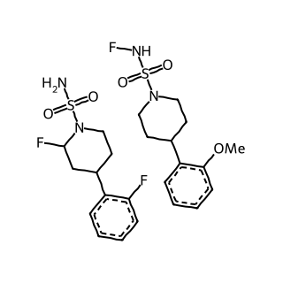 COc1ccccc1C1CCN(S(=O)(=O)NF)CC1.NS(=O)(=O)N1CCC(c2ccccc2F)CC1F